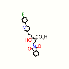 O=C(O)[C@@H](CCN1C(=O)c2ccccc2C1=O)[C@H](O)CCc1ccc(-c2ccc(F)cc2)nc1